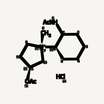 CC(=O)NC1CCCC[C@@H]1[N@+]1(C)CC[C@@H](OC(C)=O)C1.Cl